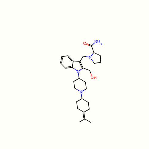 CC(C)=C1CCC(N2CCC(n3c(CO)c(CN4CCCC4C(N)=O)c4ccccc43)CC2)CC1